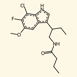 CCCC(=O)NCC(CC)c1c[nH]c2c(Cl)c(F)c(OC)cc12